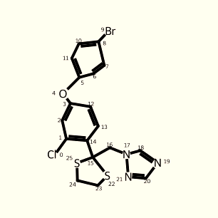 Clc1cc(Oc2ccc(Br)cc2)ccc1C1(Cn2cncn2)SCCS1